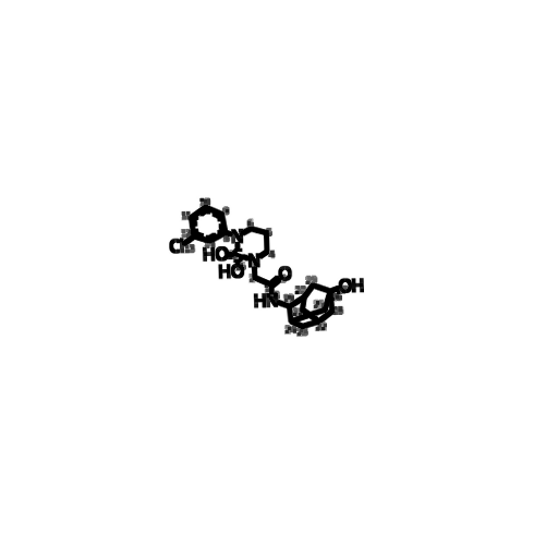 O=C(CN1CCCN(c2cccc(Cl)c2)S1(O)O)NC1C2CC3CC1CC(O)(C3)C2